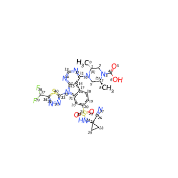 C[C@@H]1CN(C(=O)O)[C@@H](C)CN1c1ncnc2c1c1ccc(S(=O)(=O)NC3(C#N)CC3)cc1n2-c1nnc(C(F)F)s1